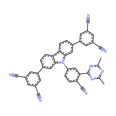 Cc1nc(C)nc(-c2cc(-n3c4cc(-c5cc(C#N)cc(C#N)c5)ccc4c4ccc(-c5cc(C#N)cc(C#N)c5)cc43)ccc2C#N)n1